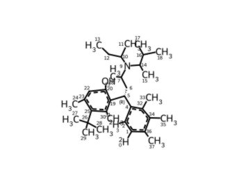 [2H]c1c([2H])c([C@@H](CC(C)N(C(C)CC)C(C)C(C)C)c2c(O)cc(C)c(C(C)(C)C)c2C)c(C)c(C)c1C